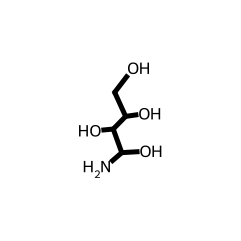 NC(O)C(O)C(O)CO